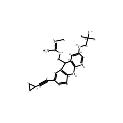 C/N=C(/N)OCC1c2cc(C#CC3CC3)ccc2Oc2ncc(OCC(C)(C)F)cc21